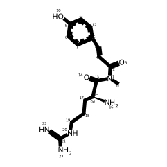 CN(C(=O)C=Cc1ccc(O)cc1)C(=O)[C@@H](N)CCCNC(=N)N